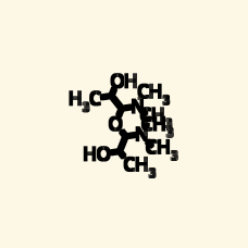 CC(O)C(OC(C(C)O)N(C)C)N(C)C